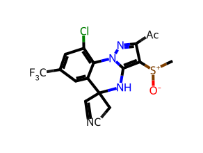 C=CC1(CC#N)Nc2c([S+](C)[O-])c(C(C)=O)nn2-c2c(Cl)cc(C(F)(F)F)cc21